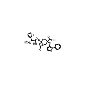 O=C(N[C@@H]1C(=O)N2CC(Sc3ccnn3-c3ccccc3)(C(=O)O)CS[C@H]12)C(=NO)c1ccco1